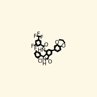 O=C(Nc1cc(-c2ccc3c(c2)OCCCO3)cc2c1C(c1cc(F)ccc1Cl)NC2=O)c1cc(F)cc(C(F)(F)F)c1